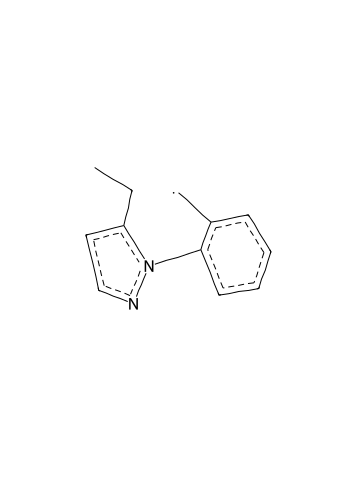 [CH2]c1ccccc1-n1nccc1CC